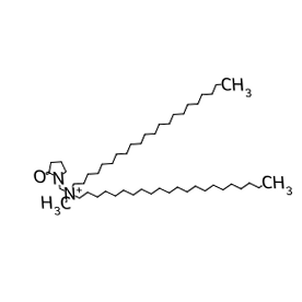 CCCCCCCCCCCCCCCCCCCCCC[N+](C)(CCCCCCCCCCCCCCCCCCCCCC)CN1CCCC1=O